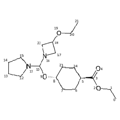 CCOC(=O)[C@H]1CC[C@H](OC(N2CCCC2)N2CC(OCC)C2)CC1